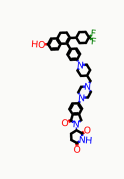 O=C1CC[C@@H](N2Cc3cc(N4CCN(CC5CCN(c6ccc(C7=C(C8CCC(F)(F)CC8)CCc8cc(O)ccc87)cc6)CC5)CC4)ccc3C2=O)C(=O)N1